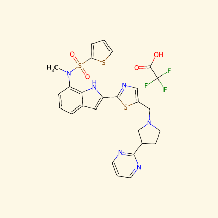 CN(c1cccc2cc(-c3ncc(CN4CCC(c5ncccn5)C4)s3)[nH]c12)S(=O)(=O)c1cccs1.O=C(O)C(F)(F)F